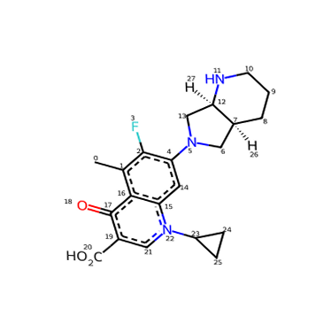 Cc1c(F)c(N2C[C@@H]3CCCN[C@@H]3C2)cc2c1c(=O)c(C(=O)O)cn2C1CC1